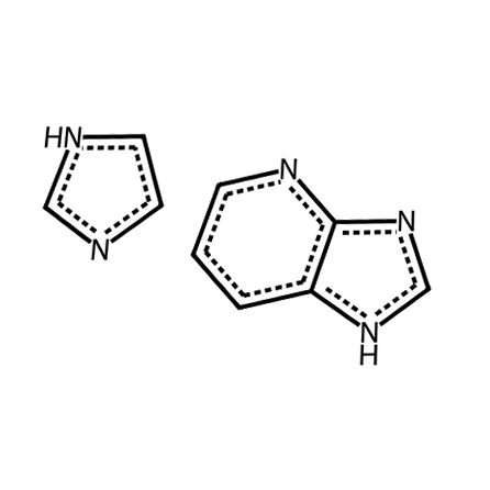 c1c[nH]cn1.c1cnc2nc[nH]c2c1